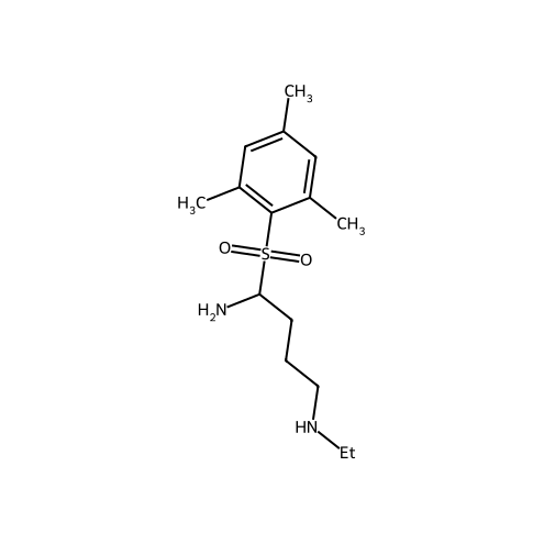 CCNCCCC(N)S(=O)(=O)c1c(C)cc(C)cc1C